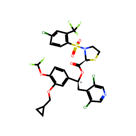 O=C(O[C@@H](Cc1c(Cl)cncc1Cl)c1ccc(OC(F)F)c(OCC2CC2)c1)[C@@H]1SCCN1S(=O)(=O)c1ccc(Cl)cc1C(F)(F)F